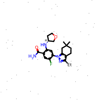 CCc1nn(-c2cc(N[C@@H]3CCOC3)c(C(N)=O)cc2F)c2c1CCC(C)(C)C2